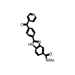 CNC(=O)c1ccc2[nH]c(-c3ccc(C(=O)c4ccncc4)cc3)nc2c1